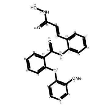 COc1cnccc1Oc1ccccc1C(=O)Nc1ccccc1C=CC(=O)NO